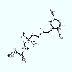 CC(C)(CCOCc1cc(Br)ccc1F)CNC(=O)OC(C)(C)C